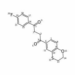 O=C(CCC(=O)c1ccc2c(c1)SCCO2)c1ccc(F)cc1